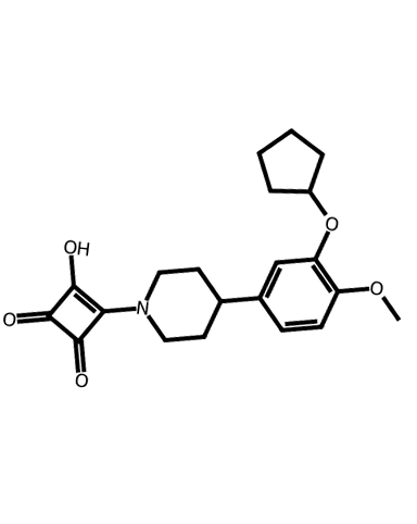 COc1ccc(C2CCN(c3c(O)c(=O)c3=O)CC2)cc1OC1CCCC1